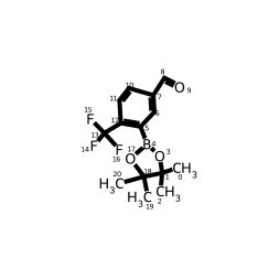 CC1(C)OB(c2cc(C=O)ccc2C(F)(F)F)OC1(C)C